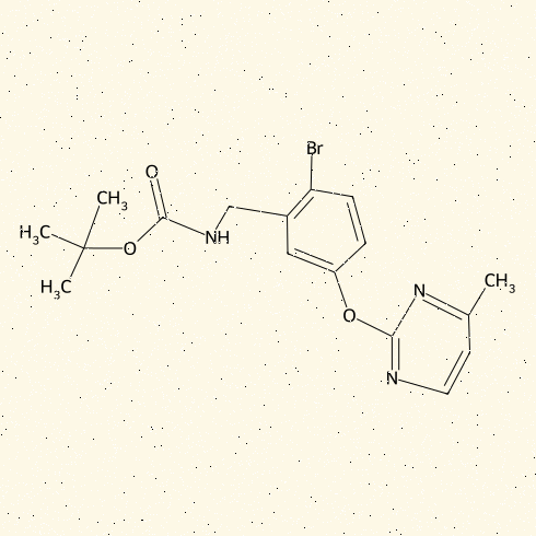 Cc1ccnc(Oc2ccc(Br)c(CNC(=O)OC(C)(C)C)c2)n1